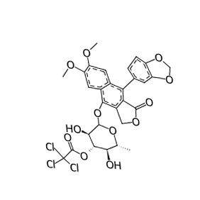 COc1cc2c(OC3O[C@H](C)[C@@H](O)[C@H](OC(=O)C(Cl)(Cl)Cl)[C@H]3O)c3c(c(-c4ccc5c(c4)OCO5)c2cc1OC)C(=O)OC3